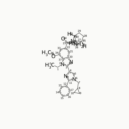 CCn1c(-c2cn(CC3CC3)c(-c3ccccc3)n2)nc2cc(C(=O)N3C[C@H]4CC[C@@H]3[C@@H]4N)cc(OC)c21